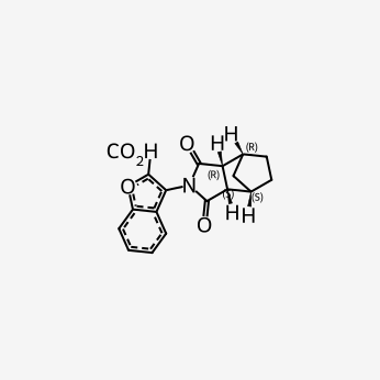 O=C(O)c1oc2ccccc2c1N1C(=O)[C@@H]2[C@@H]3CC[C@@H](C3)[C@@H]2C1=O